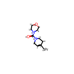 CC(C)C1=CCN(C(=O)N2CCOCC2)CC1